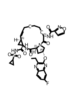 CCc1nc2ccc(F)cc2nc1O[C@@H]1C[C@H]2C(=O)N[C@]3(C(=O)NS(=O)(=O)C4CC4)C[C@H]3C=CCCCCC[C@H](NC(=O)c3ccon3)C(=O)N2C1